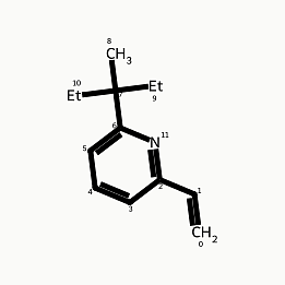 C=Cc1cccc(C(C)(CC)CC)n1